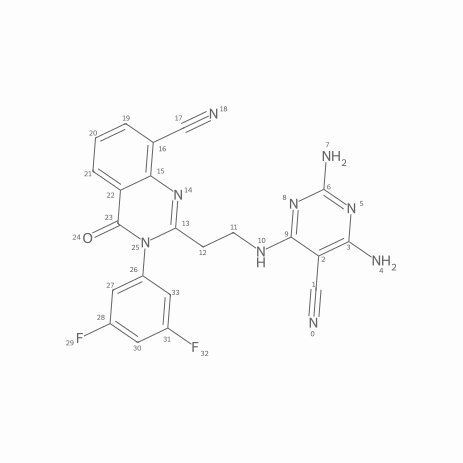 N#Cc1c(N)nc(N)nc1NCCc1nc2c(C#N)cccc2c(=O)n1-c1cc(F)cc(F)c1